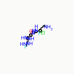 C[C@H](N)CCCc1cc(Cl)c(F)c(-c2cc3cn(-c4ccc([C@@H]5CNC[C@H](CCNC(=N)CF)N5)cc4)c(=O)nc3[nH]2)c1